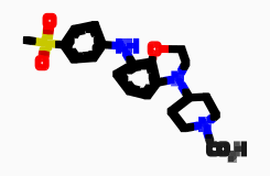 CS(=O)(=O)c1ccc(Nc2cccc3c2OCCN3C2CCN(C(=O)O)CC2)cc1